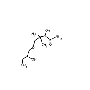 CCC(O)COCC(C)(C)C(O)C(N)=O